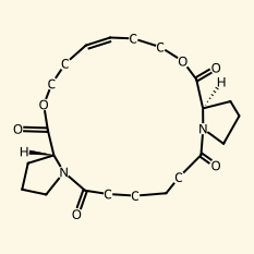 O=C1OCCC=CCCOC(=O)[C@H]2CCCN2C(=O)CCCCC(=O)N2CCC[C@H]12